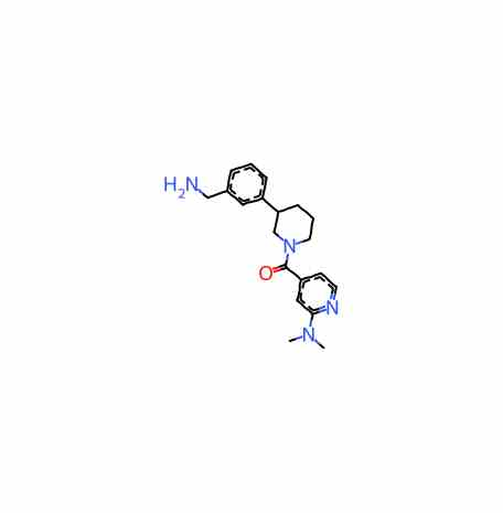 CN(C)c1cc(C(=O)N2CCCC(c3cccc(CN)c3)C2)ccn1